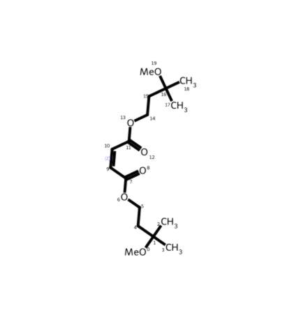 COC(C)(C)CCOC(=O)/C=C\C(=O)OCCC(C)(C)OC